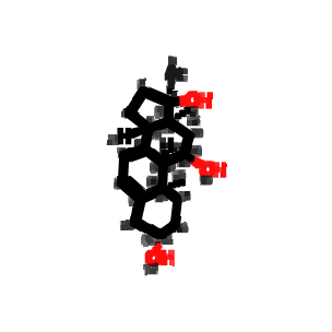 CC(=O)[C@@]1(O)CC[C@H]2C3=CC=C4C[C@@H](O)CC[C@]4(C)[C@H]3[C@H](O)C[C@@]21C